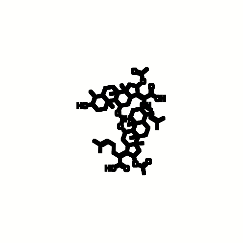 CC(=O)OC1CC2(C)C(CC(OBOC3CC4/C(=C(\CCC=C(C)C)C(=O)O)C(OC(C)=O)CC4(C)C4(C)CCC5C(C)C(O)CCC5(C)C34)C3C4(C)CCC(O)C(C)C4CCC32C)/C1=C(\CCC=C(C)C)C(=O)O